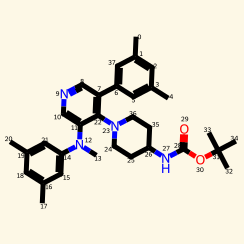 Cc1cc(C)cc(-c2cncc(N(C)c3cc(C)cc(C)c3)c2N2CCC(NC(=O)OC(C)(C)C)CC2)c1